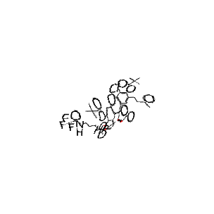 CC(=O)CCc1cc2c(c(Cl)c1OC(=O)C(C)(C)C)Oc1cc(OC(=O)C(C)(C)C)c3ccccc3c1C21OC(=O)c2ccc([PH](=O)OCCCCNC(=O)C(F)(F)F)cc21